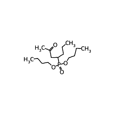 CCCCOP(=O)(OCCCC)C(CCC)CC(C)=O